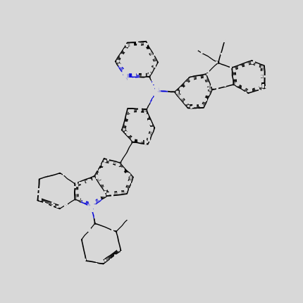 CC1C=CCCC1n1c2c(c3cc(-c4ccc(N(c5ccc6c(c5)C(C)(C)c5ccccc5-6)c5ccccn5)cc4)ccc31)CCC=C2